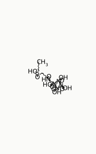 CCCCC/C=C/[C@@H]1[C@H](O)CC(=O)[C@@H]1C/C=C\CCCC(=O)NCCCC(C(=O)O)N1CCN(CC(=O)O)CCN(CC(=O)O)CCN(CC(=O)O)CC1